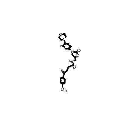 Cc1ccc(C(=S)CCC(=O)NCC2CN(c3ccc(N4CCOCC4)c(F)c3)C(=O)O2)cc1